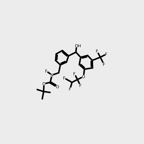 CC(C)(C)OC(=O)N(F)Cc1cccc(C(O)c2cc(OC(F)(F)C(F)F)cc(C(F)(F)F)c2)c1